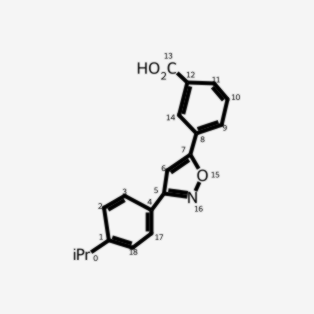 CC(C)c1ccc(-c2cc(-c3cccc(C(=O)O)c3)on2)cc1